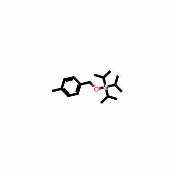 Cc1ccc(CO[Si](C(C)C)(C(C)C)C(C)C)cc1